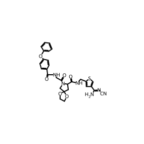 N#CN=C(N)c1csc(CNC(=O)C2CC3(CN2C(=O)CNC(=O)c2ccc(Oc4ccccc4)cc2)OCCO3)c1